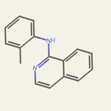 Cc1ccccc1Nc1nccc2ccccc12